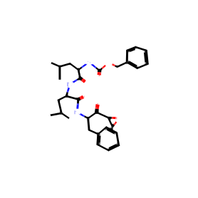 CC(C)CC(NC(=O)OCc1ccccc1)C(=O)NC(CC(C)C)C(=O)NC(Cc1ccccc1)C(=O)C1CO1